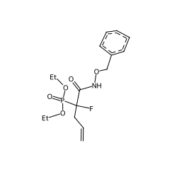 C=CCC(F)(C(=O)NOCc1ccccc1)P(=O)(OCC)OCC